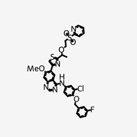 COc1cc2ncnc(Nc3ccc(OCc4cccc(F)c4)c(Cl)c3)c2cc1-c1csc(C(C)OCCS(=O)(=O)c2ccccn2)n1